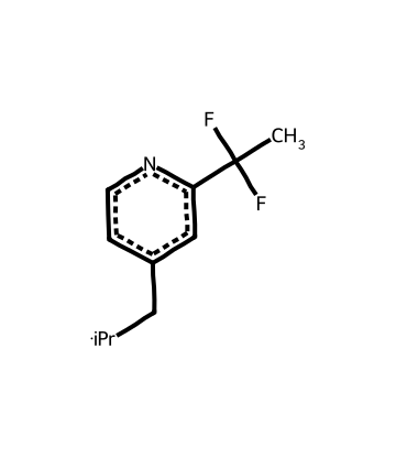 C[C](C)Cc1ccnc(C(C)(F)F)c1